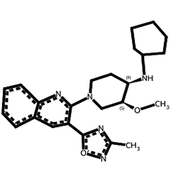 CO[C@H]1CN(c2nc3ccccc3cc2-c2nc(C)no2)CC[C@H]1NC1CCCCC1